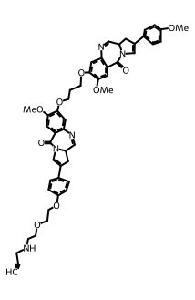 C#CCNCCOCCOc1ccc(C2=CN3C(=O)c4cc(OC)c(OCCCOc5cc6c(cc5OC)C(=O)N5C=C(c7ccc(OC)cc7)CC5C=N6)cc4N=CC3C2)cc1